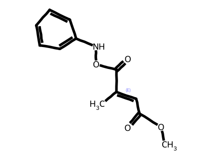 COC(=O)/C=C(\C)C(=O)ONc1ccccc1